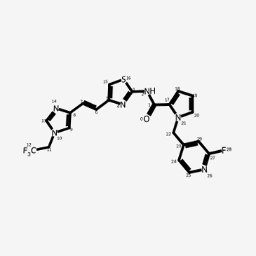 O=C(Nc1nc(/C=C/c2cn(CC(F)(F)F)cn2)cs1)c1cccn1Cc1ccnc(F)c1